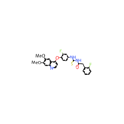 COc1cc2nccc(Oc3ccc(NC(=S)NC(=O)Cc4ccccc4F)cc3F)c2cc1OC